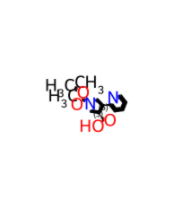 CC(C)(C)OC(=O)N1C[C@@H](C(=O)O)[C@H](c2ccccn2)C1